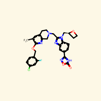 O=c1[nH]c(-c2ccc3c(c2)nc(CN2CCc4cc(C(F)(F)F)c(OCc5ccc(Cl)cc5F)nc4C2)n3C[C@@H]2CCO2)no1